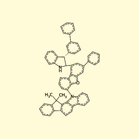 CC1(C)c2ccccc2-c2ccc3c4ccccc4n(-c4cccc5c4oc4cc(-c6ccccc6)cc(C6Nc7ccccc7[C@@H]6c6cccc(-c7ccccc7)c6)c45)c3c21